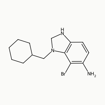 Nc1ccc2c(c1Br)N(CC1CCCCC1)CN2